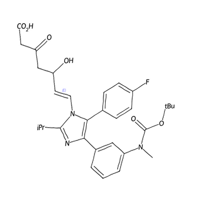 CC(C)c1nc(-c2cccc(N(C)C(=O)OC(C)(C)C)c2)c(-c2ccc(F)cc2)n1/C=C/C(O)CC(=O)CC(=O)O